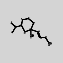 CC(C)C1CCCC(O)(C=CCO)C1